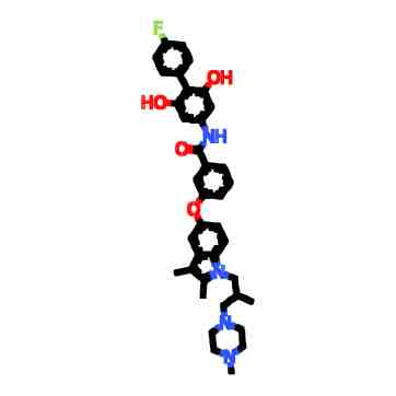 Cc1c(C)n(CC(C)CN2CCN(C)CC2)c2ccc(Oc3cccc(C(=O)Nc4cc(O)c(-c5ccc(F)cc5)c(O)c4)c3)cc12